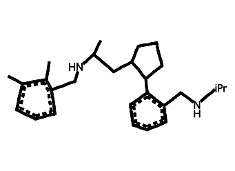 Cc1cccc(CNC(C)CC2CCCC2c2ccccc2CNC(C)C)c1C